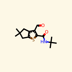 CC1(C)Cc2sc(C(=O)NC(C)(C)C)c(C=O)c2C1